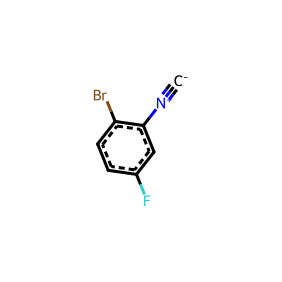 [C-]#[N+]c1cc(F)ccc1Br